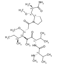 CC[C@H](C)[C@@H]([C@@H](CC(=O)N1CCC[C@H]1[C@H](OC)[C@@H](C)C(N)=O)OC)N(C)C(=O)[C@@H](NC(=O)[C@@H](NC)C(C)C)C(C)C